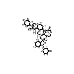 O=C1OC(CCc2ccccc2)(c2ccccc2)CC(O)=C1N(c1cccc(NS(=O)(=O)c2ccccc2)c1)C1CC1